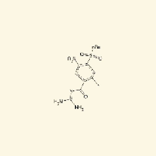 CCCCS(=O)(=O)c1cc(C)c(C(=O)N=C(N)N)cc1[N+](=O)[O-]